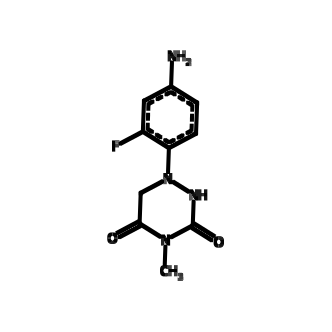 CN1C(=O)CN(c2ccc(N)cc2F)NC1=O